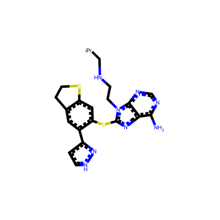 CC(C)CNCCn1c(Sc2cc3c(cc2-c2cc[nH]n2)CCS3)nc2c(N)ncnc21